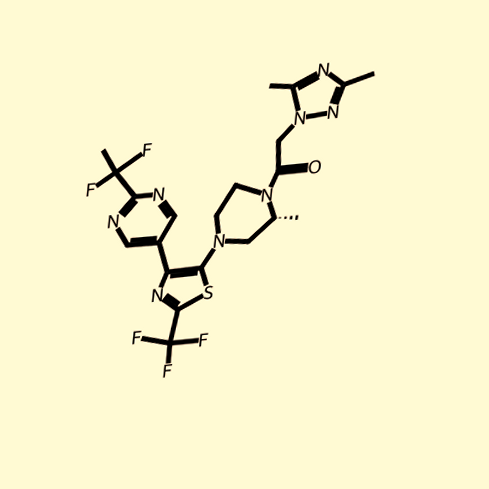 Cc1nc(C)n(CC(=O)N2CCN(c3sc(C(F)(F)F)nc3-c3cnc(C(C)(F)F)nc3)C[C@H]2C)n1